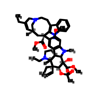 C=C[C@@]1(CC)[C@@H](OC(C)=O)[C@](O)(C(=O)OC)C2N(C)c3cc(OC)c([C@@]4(C(=O)OC)C[C@H]5C=C(CC)CN(CCc6c4[nH]c4ccccc64)C5)cc3[C@@]23CCN(CC)[C@@H]13